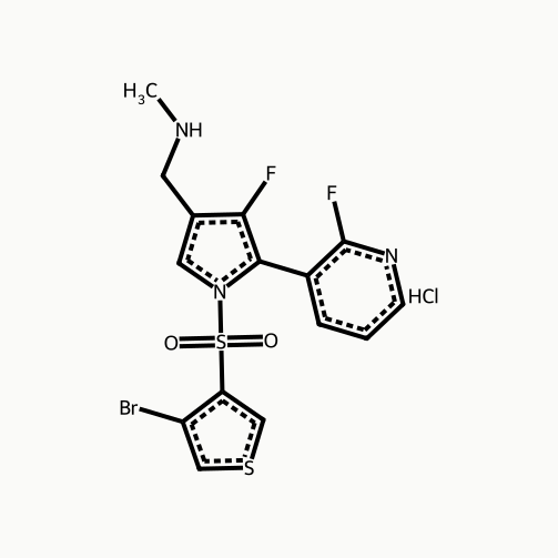 CNCc1cn(S(=O)(=O)c2cscc2Br)c(-c2cccnc2F)c1F.Cl